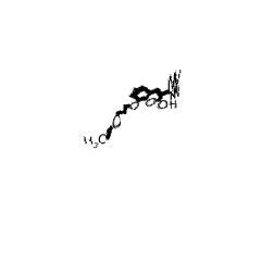 CCCOCCCOc1cccc2cc(-c3nnn[nH]3)c(=O)oc12